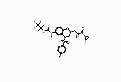 CC(C)(OC(=O)Nc1ccc2c(c1)N(S(=O)(=O)c1ccc(F)cc1)C[C@H](CNC(=O)[C@@H]1C[C@@H]1F)O2)C(F)(F)F